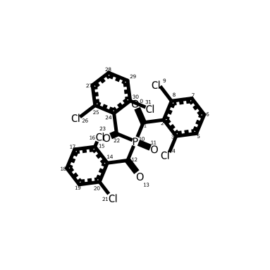 O=C(c1c(Cl)cccc1Cl)P(=O)(C(=O)c1c(Cl)cccc1Cl)C(=O)c1c(Cl)cccc1Cl